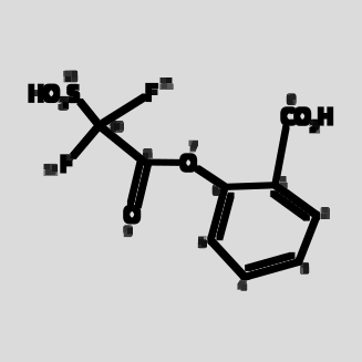 O=C(O)c1ccccc1OC(=O)C(F)(F)S(=O)(=O)O